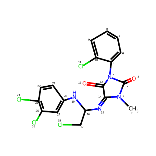 CN1C(=O)N(c2ccccc2Cl)C(=O)C1=NC(CCl)Nc1ccc(Cl)c(Cl)c1